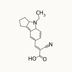 CCN1C2C=CC(/C=C(\C#N)C(=O)O)=CC2=C2CCCC21